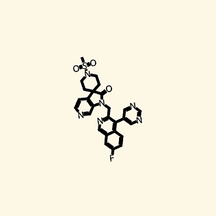 CS(=O)(=O)N1CCC2(CC1)C(=O)N(Cc1ncc3cc(F)ccc3c1-c1cncnc1)c1cnccc12